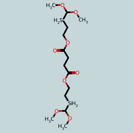 COC(OC)[SiH2]CCOC(=O)CCC(=O)OCC[SiH2]C(OC)OC